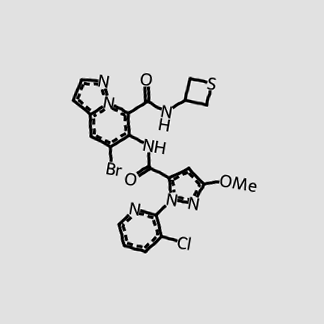 COc1cc(C(=O)Nc2c(Br)cc3ccnn3c2C(=O)NC2CSC2)n(-c2ncccc2Cl)n1